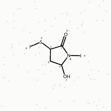 O=C1C(SI)CC(O)N1I